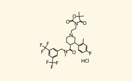 Cc1cc(F)ccc1C1CN(CCN2C(=O)OC(C)(C)C2=O)CCC1C(=O)N(C)Cc1cc(C(F)(F)F)cc(C(F)(F)F)c1.Cl